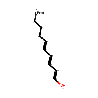 CCCCCCCC/C=C/C=C/C=C/O